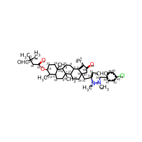 CC(C)C1=C2C3CCC4C(C)(CCC5C(C)C(OC(=O)CC(C)(C)C=O)CCC54C)C3CCC2(C/C(=C/C=O)N(C)N(C)Cc2ccc(Cl)cc2)CC1=O